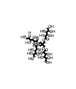 O=C(OCC(COC(=O)[C@H](S)[C@@H](O)[C@H](O)[C@H](O)CO)(COC(=O)[C@H](S)[C@@H](O)[C@H](O)[C@H](O)CO)COC(=O)[C@H](S)[C@@H](O)[C@H](O)[C@H](O)CO)[C@H](S)[C@@H](O)[C@H](O)[C@H](O)CO